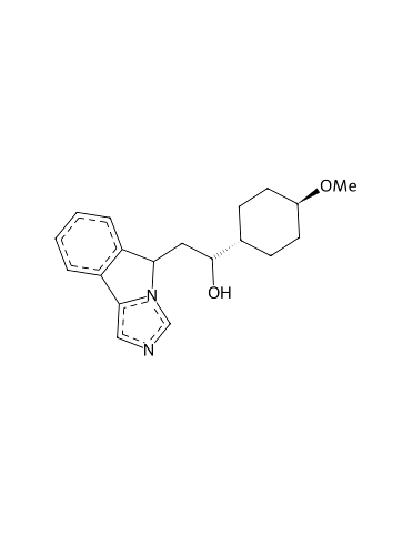 CO[C@H]1CC[C@H](C(O)CC2c3ccccc3-c3cncn32)CC1